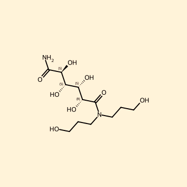 NC(=O)[C@@H](O)[C@@H](O)[C@H](O)[C@@H](O)C(=O)N(CCCO)CCCO